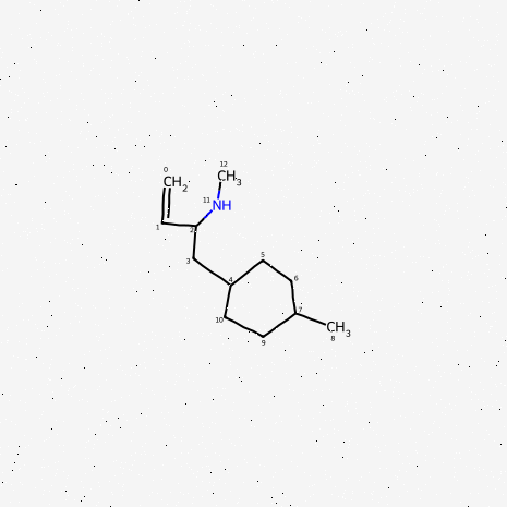 C=CC(CC1CCC(C)CC1)NC